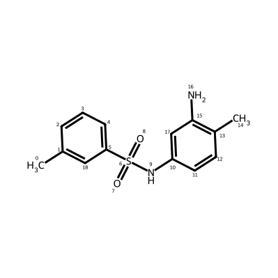 Cc1cccc(S(=O)(=O)Nc2ccc(C)c(N)c2)c1